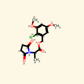 COc1cc(COC(=O)C(C)N2C(=O)CCC2=O)c(Br)c(OC)c1